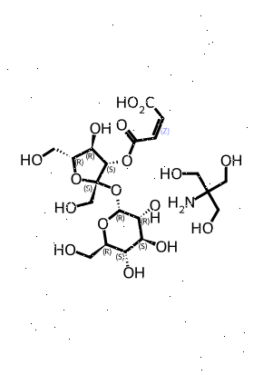 NC(CO)(CO)CO.O=C(O)/C=C\C(=O)O[C@H]1[C@H](O)[C@@H](CO)O[C@@]1(CO)O[C@H]1O[C@H](CO)[C@@H](O)[C@H](O)[C@H]1O